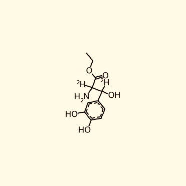 [2H]C(N)(C(=O)OCC)C([2H])(O)c1ccc(O)c(O)c1